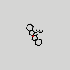 C[CH]=[Ti]([CH3])([CH3])([CH]1CCC2=C1CCCC2)[CH]1CCC2=C1CCCC2